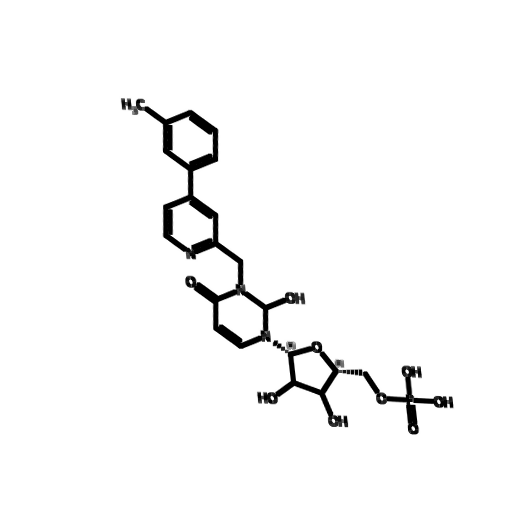 Cc1cccc(-c2ccnc(CN3C(=O)C=CN([C@@H]4O[C@H](COP(=O)(O)O)C(O)C4O)C3O)c2)c1